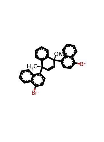 CO[C@@]1(c2ccc(Br)c3ccccc23)C=C[C@](C)(c2ccc(Br)c3ccccc23)c2ccccc21